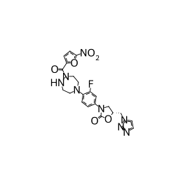 O=C(c1ccc([N+](=O)[O-])o1)N1CCN(c2ccc(N3C[C@H](Cn4ccnn4)OC3=O)cc2F)CCN1